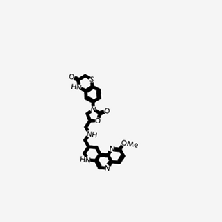 COc1ccc2ncc3c(c2n1)CC(CNCC1CN(c2ccc4c(c2)NC(=O)CS4)C(=O)O1)CN3